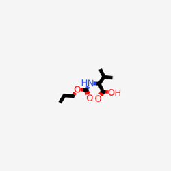 CCCOC(=O)NC(C(=O)O)C(C)C